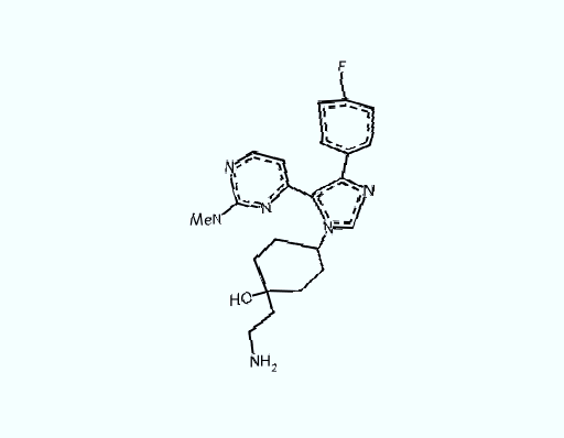 CNc1nccc(-c2c(-c3ccc(F)cc3)ncn2C2CCC(O)(CCN)CC2)n1